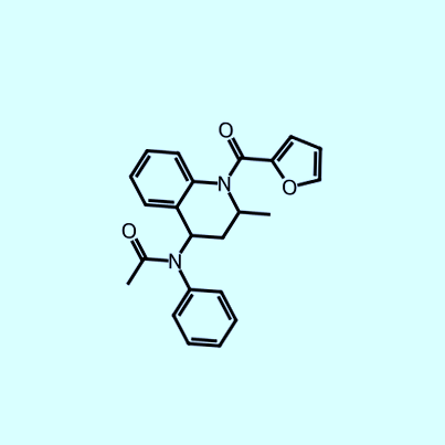 CC(=O)N(c1ccccc1)C1CC(C)N(C(=O)c2ccco2)c2ccccc21